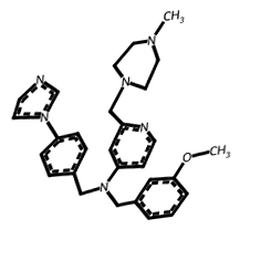 COc1cccc(CN(Cc2ccc(-n3ccnc3)cc2)c2ccnc(CN3CCN(C)CC3)c2)c1